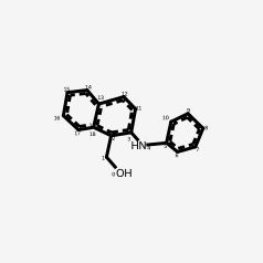 OCc1c(Nc2ccccc2)ccc2ccccc12